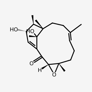 C/C1=C\CC[C@]2(C)O[C@@H]2C(=O)C2=C[C@H](O)[C@@H](C)[C@](C)(CC1)[C@@]2(C)O